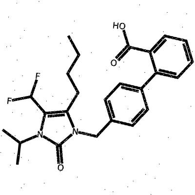 CCCCc1c(C(F)F)n(C(C)C)c(=O)n1Cc1ccc(-c2ccccc2C(=O)O)cc1